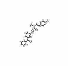 CC(C)C(/C=C/c1ccc(F)cc1)C(=O)OCc1cccc(C(=O)c2ccccc2)n1